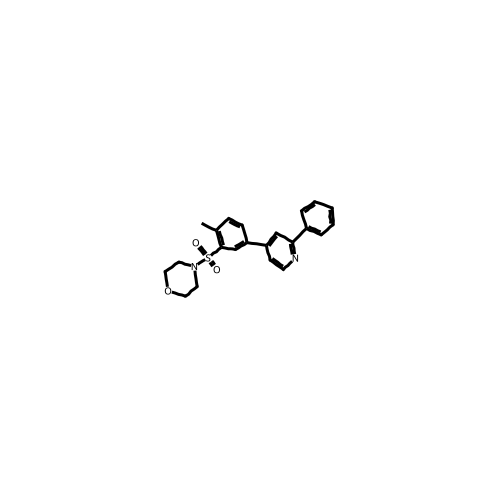 Cc1ccc(-c2ccnc(-c3ccccc3)c2)cc1S(=O)(=O)N1CCOCC1